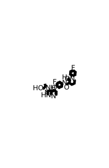 CC(CO)Nc1n[nH]c2nccc(Oc3ccc(NC(=O)C4CCCN(c5ccc(F)cc5)C4=O)cc3F)c12